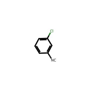 [C-]#[N+]c1cccc(Cl)c1